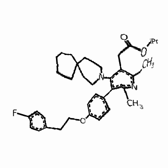 Cc1nc(C)c(-c2ccc(OCCc3ccc(F)cc3)cc2)c(N2CCC3(CCCCC3)CC2)c1CC(=O)OC(C)C